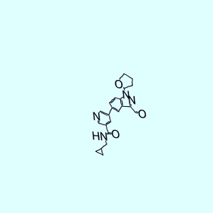 O=Cc1nn(C2CCCCO2)c2ccc(-c3cncc(C(=O)NCC4CC4)c3)cc12